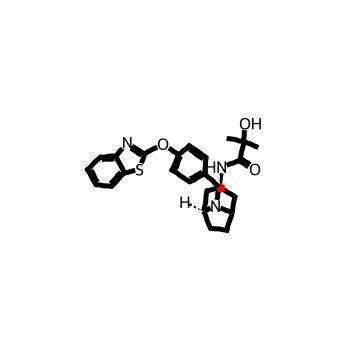 CC(C)(O)C(=O)N[C@H]1CC2CC[C@@H](C1)N2Cc1ccc(Oc2nc3ccccc3s2)cc1